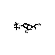 CCc1nc(C(C)CC(C)C)nc2ccc(B3OC(C)(C)C(C)(C)O3)cc12